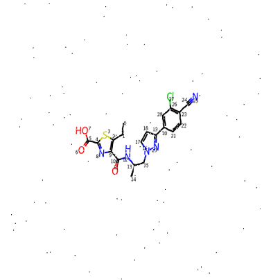 CCc1sc(C(=O)O)nc1C(=O)N[C@H](C)Cn1ccc(-c2ccc(C#N)c(Cl)c2)n1